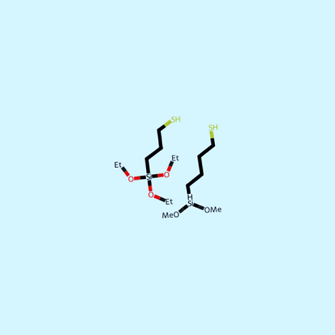 CCO[Si](CCCS)(OCC)OCC.CO[SiH](CCCCS)OC